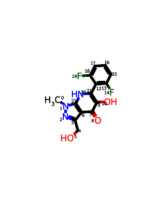 Cn1nc(CO)c2c(=O)c(O)c(-c3c(F)cccc3F)[nH]c21